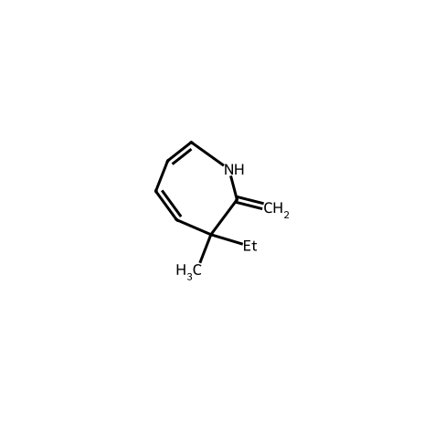 C=C1NC=CC=CC1(C)CC